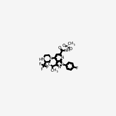 CC(C)c1nn(-c2ccc(F)cc2)c2nc(C(=O)NS(C)(=O)=O)cc(N3CCNC(C(F)(F)F)C3)c12